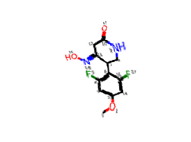 COc1cc(F)c(C2CNC(=O)C/C2=N\O)c(F)c1